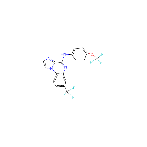 FC(F)(F)Oc1ccc(Nc2nc3cc(C(F)(F)F)ccc3n3ccnc23)cc1